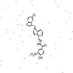 Nc1cc(C(=O)N/N=C/c2cccc3c2ccn3Cc2csc3ccc(Cl)cc23)ccc1O